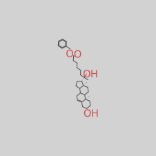 CC(O)(CCCCCC(=O)OCc1ccccc1)[C@H]1CCC2C3CC=C4C[C@@H](O)CC[C@]4(C)C3CC[C@@]21C